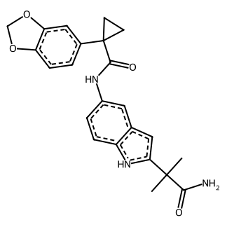 CC(C)(C(N)=O)c1cc2cc(NC(=O)C3(c4ccc5c(c4)OCO5)CC3)ccc2[nH]1